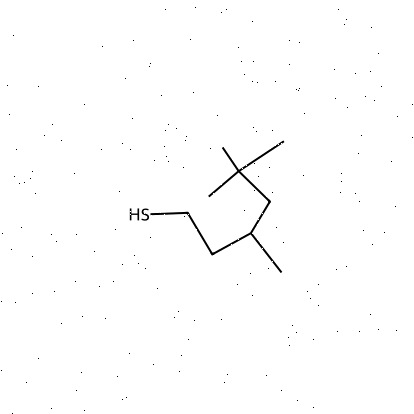 CC(CCS)CC(C)(C)C